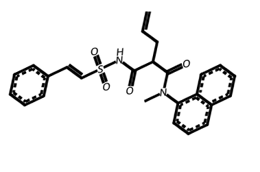 C=CCC(C(=O)NS(=O)(=O)/C=C/c1ccccc1)C(=O)N(C)c1cccc2ccccc12